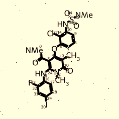 CNC(=O)c1c(Oc2cccc(NS(=O)(=O)NC)c2Cl)c(C)c(=O)n(C)c1Nc1ccc(I)cc1F